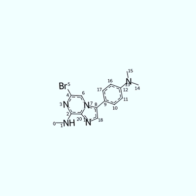 CNc1nc(Br)cn2c(-c3ccc(N(C)C)cc3)cnc12